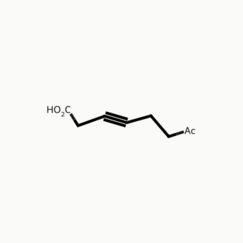 CC(=O)CCC#CCC(=O)O